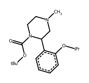 CC(C)Oc1ccccc1C1CN(C)CCN1C(=O)OC(C)(C)C